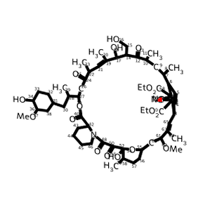 CCOC(=O)C1(C#N)C2C=CC(C(C)CC(C)C(=O)C(CO)C(O)/C(C)=C/C(C)C(=O)CC(C(C)CC3CCC(O)C(OC)C3)OC(=O)C3CCCCN3C(=O)C(=O)C3(O)OC(CCC3C)CC(OC)/C(C)=C/2)C1(C#N)C(=O)OCC